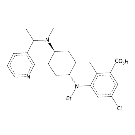 CCN(c1cc(Cl)cc(C(=O)O)c1C)[C@H]1CC[C@H](N(C)C(C)c2cccnc2)CC1